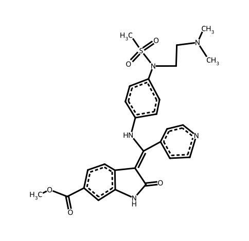 COC(=O)c1ccc2c(c1)NC(=O)C2=C(Nc1ccc(N(CCN(C)C)S(C)(=O)=O)cc1)c1ccncc1